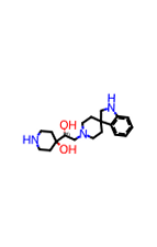 O[C@H](CN1CCC2(CC1)CNc1ccccc12)C1(O)CCNCC1